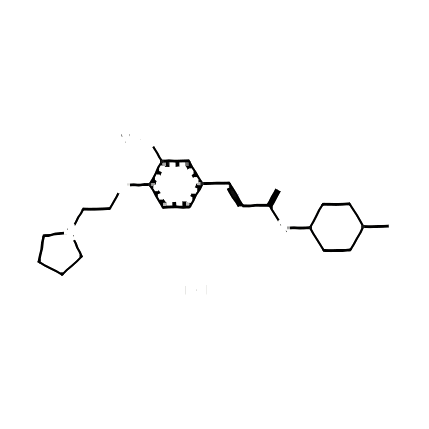 COc1cc(/C=C/C(=O)NC2CCC(C)CC2)ccc1OCCN1CCCC1.Cl